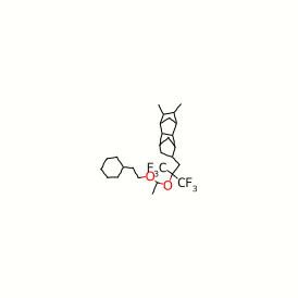 CC(OCCC1CCCCC1)OC(CC1CC2CC1C1C3CC(C(C)C3C)C21)(C(F)(F)F)C(F)(F)F